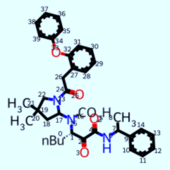 CCCC[C@@H](C(=O)C(=O)NC(C)c1ccccc1)N(C(=O)O)C1CC(C)(C)CN1C(=O)Cc1ccccc1Oc1ccccc1